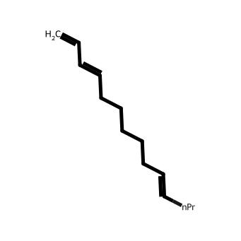 C=CC=CCCCCCC=CCCC